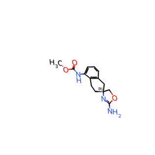 COC(=O)Nc1cccc2c1CC[C@]1(COC(N)=N1)C2